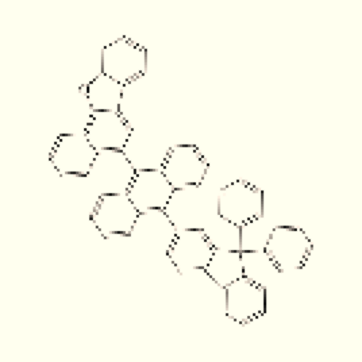 c1ccc(C2(c3ccccc3)c3ccccc3-c3ccc(-c4c5ccccc5c(-c5cc6c7ccccc7oc6c6ccccc56)c5ccccc45)cc32)cc1